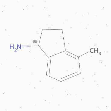 Cc1cccc2c1CC[C@H]2N